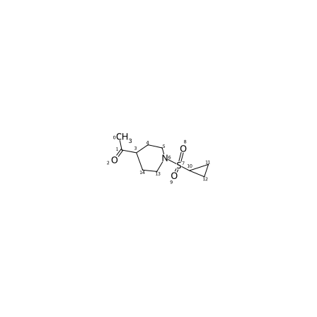 CC(=O)C1CCN(S(=O)(=O)C2CC2)CC1